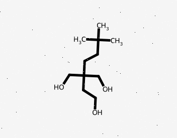 CC(C)(C)CCC(CO)(CO)CCO